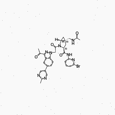 CC(=O)NC[C@]12C[C@@H](C(=O)Nc3cccc(Br)n3)N(C(=O)Cn3nc(C(C)=O)c4cc(-c5cnc(C)nc5)ccc43)[C@@H]1C2